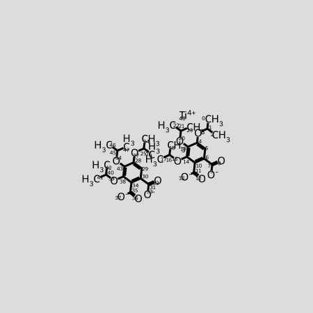 CC(C)Oc1cc(C(=O)[O-])c(C(=O)[O-])c(OC(C)C)c1OC(C)C.CC(C)Oc1cc(C(=O)[O-])c(C(=O)[O-])c(OC(C)C)c1OC(C)C.[Ti+4]